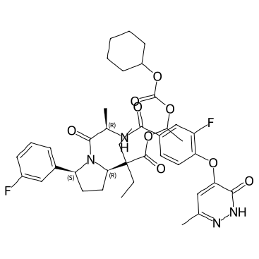 CCC(CC)(C(=O)OC(C)OC(=O)OC1CCCCC1)[C@H]1CC[C@@H](c2cccc(F)c2)N1C(=O)[C@@H](C)NC(=O)c1ccc(Oc2cc(C)n[nH]c2=O)c(F)c1